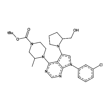 CC1CN(C(=O)OC(C)(C)C)CCN1c1ncnc2c1c(N1CCCC1CO)cn2-c1cccc(Cl)c1